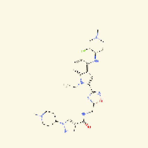 CN1CCC(n2cc(C(=O)NCc3nc(-c4cc5c(N[C@@H]6CCN(C)C[C@@H]6F)cccc5n4CC(F)(F)F)no3)cn2)CC1